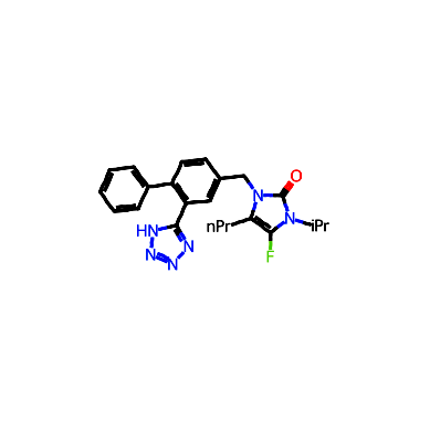 CCCc1c(F)n(C(C)C)c(=O)n1Cc1ccc(-c2ccccc2)c(-c2nnn[nH]2)c1